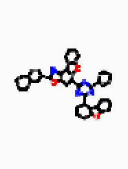 c1ccc(-c2nc(-c3cc4oc(-c5ccc6ccccc6c5)nc4c4c3oc3ccccc34)nc(-c3cccc4oc5ccccc5c34)n2)cc1